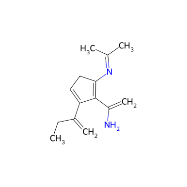 C=C(N)C1=C(N=C(C)C)CC=C1C(=C)CC